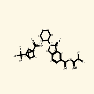 N=C(OC(=N)C(F)F)c1ccc2c(c1)C(=O)N(C1CCCC[C@H]1NC(=O)C13CC(C1)C(C(F)(F)F)C3)C2